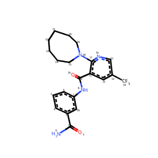 NC(=O)c1cccc(NC(=O)c2cc(C(F)(F)F)cnc2N2CCCCCCC2)c1